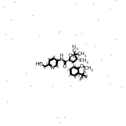 COc1c([C@@H]2[C@@H](C(=O)Nc3ccc(CO)nc3)OC(C)(C)[C@@H]2C)cccc1C(F)(F)F